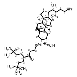 CC(C)CCC[C@@H](C)[C@H]1CC[C@H]2[C@@H]3CC=C4C[C@@H](SSCCC(=O)N(CCC(C)(C)N)CCC(C)(C)N)CC[C@]4(C)[C@H]3CC[C@]12C.Cl.Cl